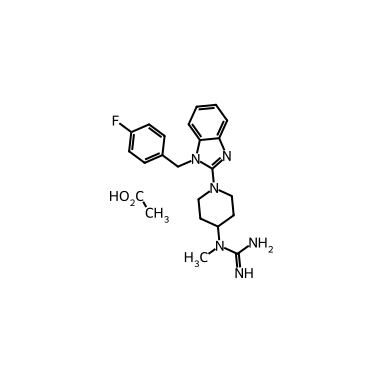 CC(=O)O.CN(C(=N)N)C1CCN(c2nc3ccccc3n2Cc2ccc(F)cc2)CC1